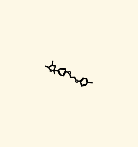 Cc1ccc(OCCOc2ccc(C3(C)SC(C)C(C)S3)cc2)cc1